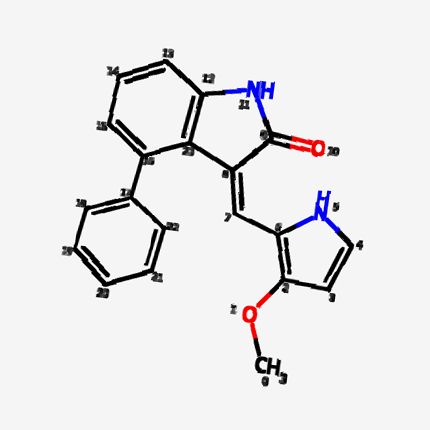 COc1cc[nH]c1/C=C1\C(=O)Nc2cccc(-c3ccccc3)c21